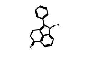 Cn1c(-c2ccccc2)c2c3c(cccc31)C(=O)CC2